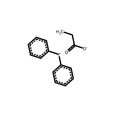 CCC(=O)[O-].c1ccc([I+]c2ccccc2)cc1